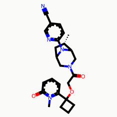 C[C@H]1CC2CN(C(=O)COC3(c4cccc(=O)n4C)CCC3)CC1N2c1ccc(C#N)cn1